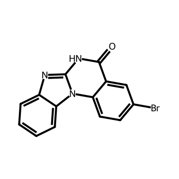 O=c1[nH]c2nc3ccccc3n2c2ccc(Br)cc12